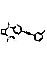 CN(C=O)C1CCC1N(C)c1ccc(C#Cc2cccc(F)c2)cn1